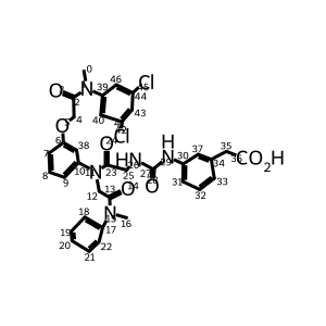 CN(C(=O)COc1cccc(N(CC(=O)N(C)c2ccccc2)C(=O)CNC(=O)Nc2cccc(CC(=O)O)c2)c1)c1cc(Cl)cc(Cl)c1